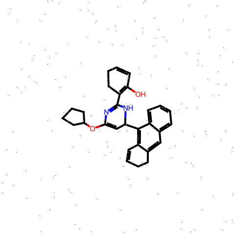 OC1=C(C2=NC(OC3CCCC3)=CC(c3c4c(cc5ccccc35)CCC=C4)N2)CCC=C1